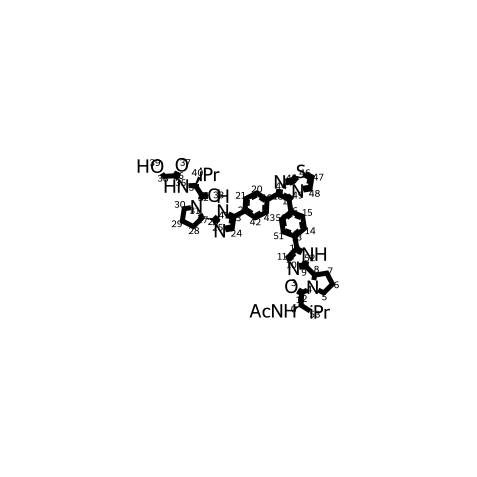 CC(=O)N[C@H](C(=O)N1CCCC1c1ncc(-c2ccc(-c3c(-c4ccc(-c5cnc([C@@H]6CCCN6C(=O)[C@@H](NC(=O)CO)C(C)C)[nH]5)cc4)nc4sccn34)cc2)[nH]1)C(C)C